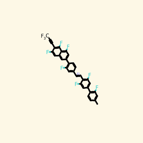 Cc1ccc(-c2cc(F)c(/C=C/c3ccc(-c4cc(F)c5c(F)c(C#CC(F)(F)F)c(F)cc5c4)c(F)c3)c(F)c2)c(F)c1